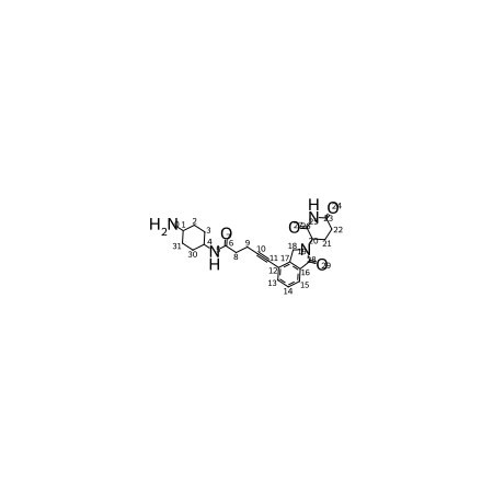 NC1CCC(NC(=O)CCC#Cc2cccc3c2CN(C2CCC(=O)NC2=O)C3=O)CC1